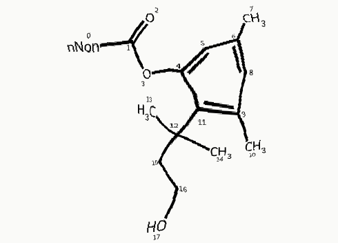 CCCCCCCCCC(=O)Oc1cc(C)cc(C)c1C(C)(C)CCO